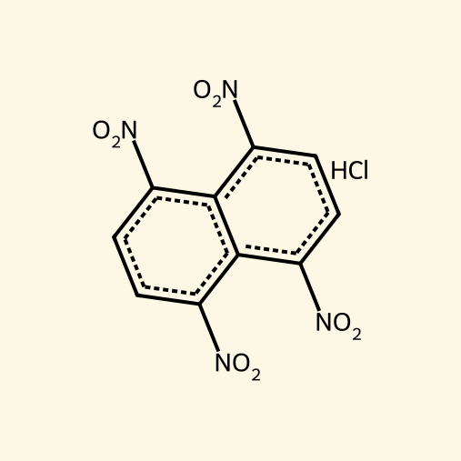 Cl.O=[N+]([O-])c1ccc([N+](=O)[O-])c2c([N+](=O)[O-])ccc([N+](=O)[O-])c12